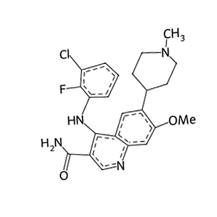 COc1cc2ncc(C(N)=O)c(Nc3cccc(Cl)c3F)c2cc1C1CCN(C)CC1